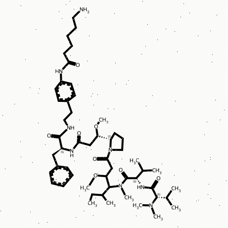 CCC(C)C(C(CC(=O)N1CCC[C@H]1C(CC(=O)N[C@@H](Cc1ccccc1)C(=O)NCCc1ccc(NC(=O)CCCCCN)cc1)OC)OC)N(C)C(=O)[C@@H](NC(=O)[C@H](C(C)C)N(C)C)C(C)C